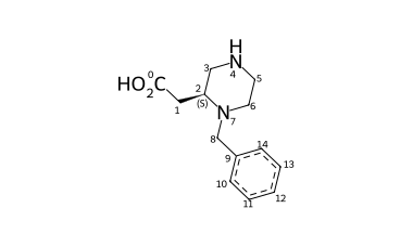 O=C(O)C[C@H]1CNCCN1Cc1ccccc1